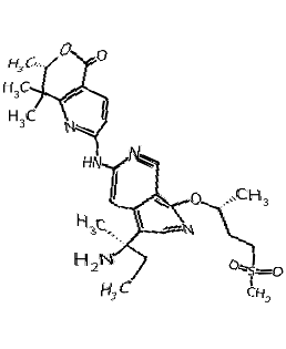 CC[C@@](C)(N)c1cnc(O[C@H](C)CCS(C)(=O)=O)c2cnc(Nc3ccc4c(n3)C(C)(C)[C@H](C)OC4=O)cc12